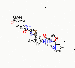 COC(=O)[C@H]1CC[C@H](NC(=O)c2csc([C@@H](C[C@H](C(C)C)N(C)C(=O)[C@@H](NC(=O)C3CCCCN3C)C(C)C)OC(C)=O)n2)CC1